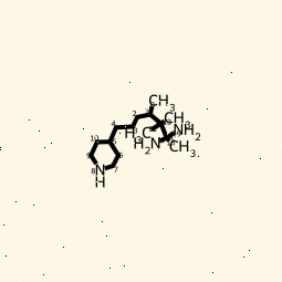 CC(CCCC1CCNCC1)C(C)(C)C(C)(N)N